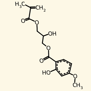 C=C(C)C(=O)OCC(O)COC(=O)c1ccc(OC)cc1O